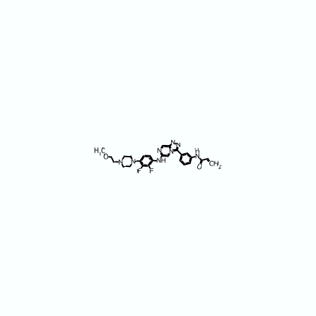 C=CC(=O)Nc1cccc(-c2nnc3cnc(Nc4ccc(N5CCN(CCOC)CC5)c(F)c4F)cn23)c1